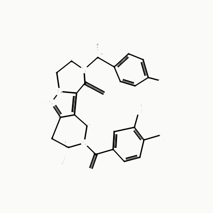 C[C@@H]1Cc2nn3c(c2CN1C(=O)c1ccc(Cl)c(Cl)c1)C(=O)N([C@H](C)c1ccc(F)cc1)CC3